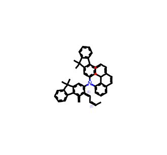 C=c1c2c(cc(N(c3ccc4c(c3)C(C)(C)c3ccccc3-4)c3cccc4c3C3CC=CC=C3C=C4)/c1=C/C=C\C)C(C)(C)c1ccccc1-2